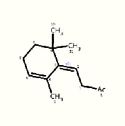 CC(=O)C/C=C1\C(C)=CCCC1(C)C